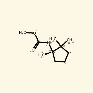 COC(=O)N[C@@]1(C)CCCC1(C)C